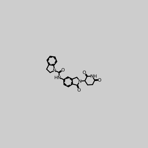 O=C1CCC(N2Cc3cc(NC(=O)N4CCc5ccccc54)ccc3C2=O)C(=O)N1